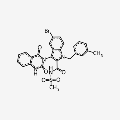 Cc1cccc(Cn2c(C(=O)NS(C)(=O)=O)c(-n3c(=O)[nH]c4ccccc4c3=O)c3cc(Br)ccc32)c1